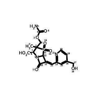 CC1(COC(N)=O)[C@H](C(=O)O)N2C(=O)/C(=C/c3cc(CO)ccn3)C2S1(=O)=O